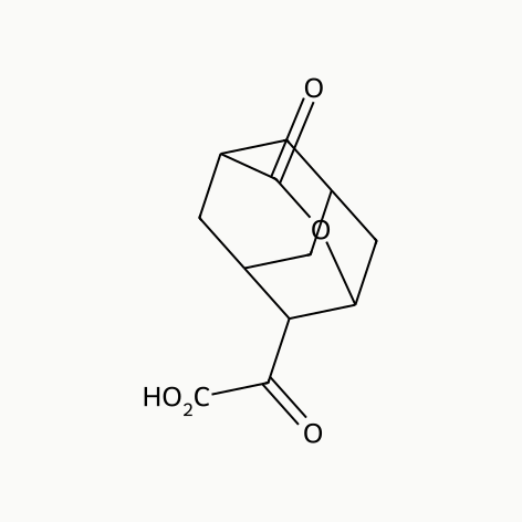 O=C(O)C(=O)C1C2CC3CC(C2)C(=O)OC1C3